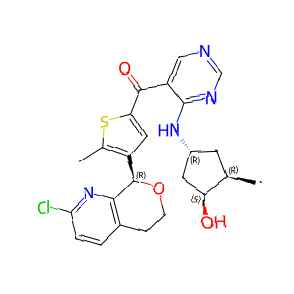 [CH2][C@@H]1C[C@@H](Nc2ncncc2C(=O)c2cc([C@H]3OCCc4ccc(Cl)nc43)c(C)s2)C[C@@H]1O